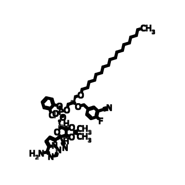 CCCCCCCCCCCCCCCCCCOC[C@H](COP(=O)(OC[C@H]1O[C@@](C#N)(c2ccc3c(N)ncnn23)[C@@H]2OC(C)(C)O[C@@H]21)Oc1ccccc1Cl)OCc1ccc(F)c(C#N)c1